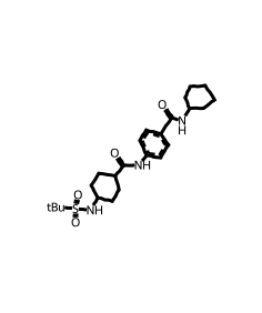 CC(C)(C)S(=O)(=O)NC1CCC(C(=O)Nc2ccc(C(=O)NC3CCCCC3)cc2)CC1